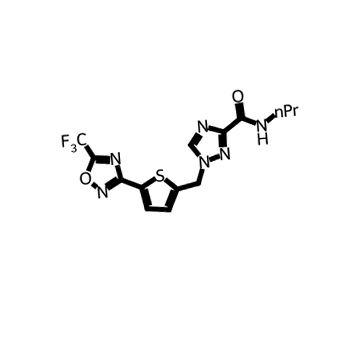 CCCNC(=O)c1ncn(Cc2ccc(-c3noc(C(F)(F)F)n3)s2)n1